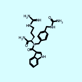 N=C(N)NCCC[C@H](C(N)=O)N(Cc1ccc(CNC(N)=O)cc1)C(=O)c1c[nH]c2ccccc12